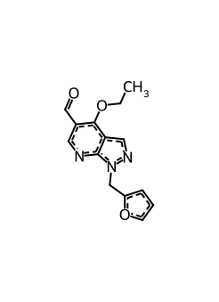 CCOc1c(C=O)cnc2c1cnn2Cc1ccco1